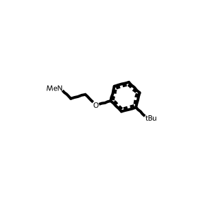 CNCCOc1cccc(C(C)(C)C)c1